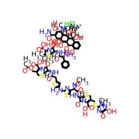 CC(=O)OCC1=C(C(=O)O)N2C(=O)[C@@H](NC(=O)Cc3cccs3)[C@H]2SC1.CC1(C)S[C@@H]2[C@H](NC(=O)[C@H](N)c3ccccc3)C(=O)N2[C@H]1C(=O)O.CN(C)[C@@H]1C(O)=C(C(N)=O)C(=O)[C@@]2(O)C(O)=C3C(=O)c4c(O)cccc4[C@@](C)(O)[C@H]3[C@H](O)[C@@H]12.CO/N=C(\C(=O)N[C@@H]1C(=O)N2C(C(=O)O)=C(CSc3nc(=O)c(O)nn3C)CS[C@H]12)c1csc(N)n1.Cl.[Na+].[Na+]